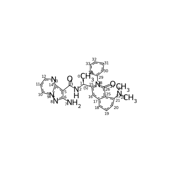 C[C@H](NC(=O)c1c(N)nn2cccnc12)c1cc2cccc(N(C)C)c2c(=O)n1-c1ccccc1